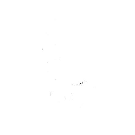 C[C@]12CC[C@H]3[C@@H](CCC4C=CC=C[C@@]43C)[C@H]1CC[C@@H]2[C@@H]1COC(=O)C1